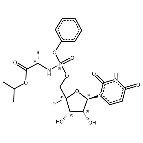 CC(C)OC(=O)[C@H](C)N[P@](=O)(OC[C@@]1(C)O[C@@H](n2ccc(=O)[nH]c2=O)[C@H](O)[C@@H]1O)Oc1ccccc1